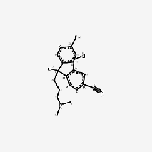 CN(C)CCCC(Cl)(c1ccc(F)cc1)c1ccc(C#N)cc1CCl